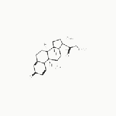 CC(=O)OCC(=O)[C@]1(OC(C)=O)CC[C@H]2[C@@H]3CCC4=CC(=O)C=C[C@]4(C)[C@H]3[C@@H](OC(C)=O)C[C@@]21C